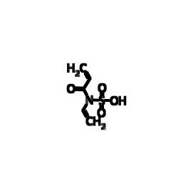 C=CC(=O)N(C=C)S(=O)(=O)O